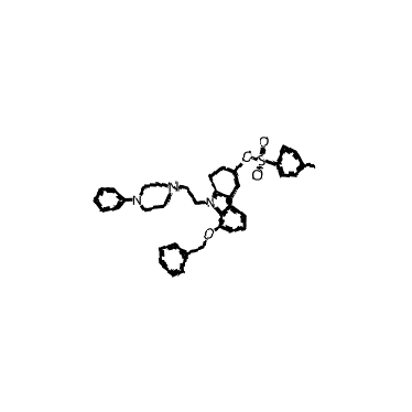 Cc1ccc(S(=O)(=O)OC2CCc3c(c4cccc(OCc5ccccc5)c4n3CCN3CCN(c4ccccc4)CC3)C2)cc1